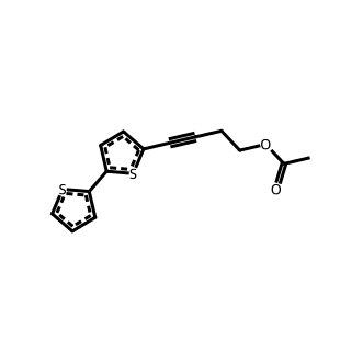 CC(=O)OCCC#Cc1ccc(-c2cccs2)s1